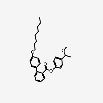 CCCCCCCCOc1ccc(-c2ccccc2C(=O)Oc2ccc(C(C)OC)cc2)cc1